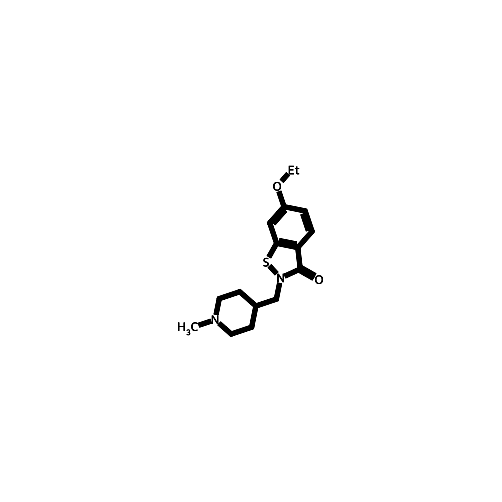 CCOc1ccc2c(=O)n(CC3CCN(C)CC3)sc2c1